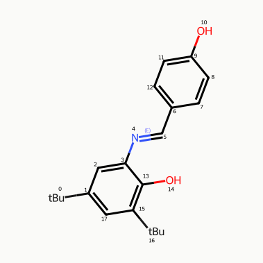 CC(C)(C)c1cc(/N=C/c2ccc(O)cc2)c(O)c(C(C)(C)C)c1